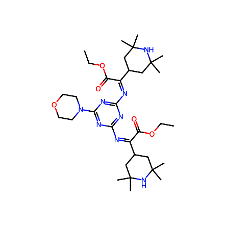 CCOC(=O)/C(=N\c1nc(/N=C(\C(=O)OCC)C2CC(C)(C)NC(C)(C)C2)nc(N2CCOCC2)n1)C1CC(C)(C)NC(C)(C)C1